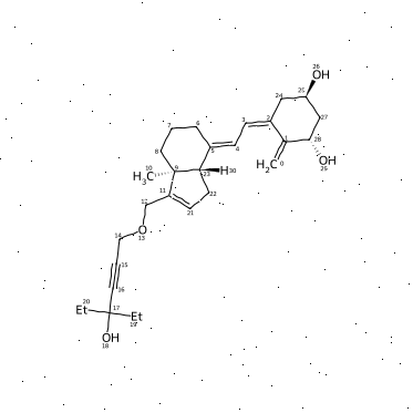 C=C1C(=CC=C2CCC[C@]3(C)C(COCC#CC(O)(CC)CC)=CC[C@@H]23)C[C@@H](O)C[C@@H]1O